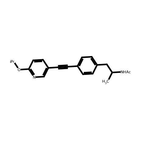 CC(=O)NC(C)Cc1ccc(C#Cc2ccc(OC(C)C)nc2)cc1